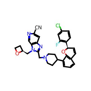 N#Cc1cc2nc(CN3CCC(c4cccc5c4O[C@@H](c4ccc(Cl)cc4F)C=C5)CC3)n(C[C@@H]3CCO3)c2cn1